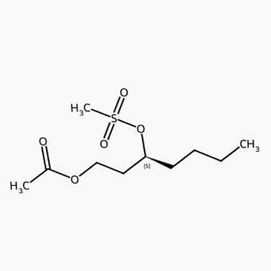 CCCC[C@@H](CCOC(C)=O)OS(C)(=O)=O